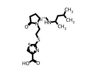 CC(C)CC(C)NC[C@H]1CCC(=O)N1CCSc1nc(C(=O)O)cs1